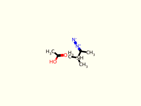 CC(=O)O.CC(=[N+]=[N-])[SiH](C)C